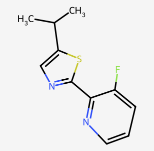 CC(C)c1cnc(-c2ncccc2F)s1